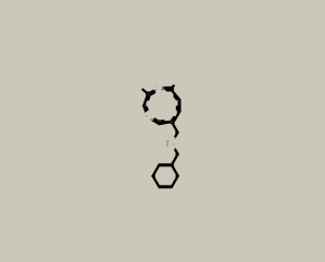 CCc1c[nH]cc(CNCC2CCCCC2)ccc(C)n1